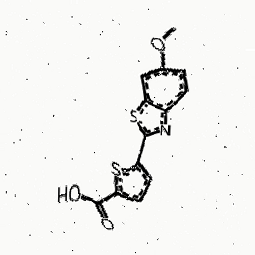 COc1ccc2nc(-c3ccc(C(=O)O)s3)sc2c1